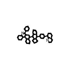 c1ccc(-c2nc3ccccc3c3c2cc(-c2c4ccccc4c(-c4ccc(-c5cccc6cccnc56)cc4)c4ccccc24)c2ccccc23)cc1